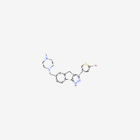 CN1CCN(Cc2ccc3c(c2)Cc2c(-c4csc(Br)c4)n[nH]c2-3)CC1